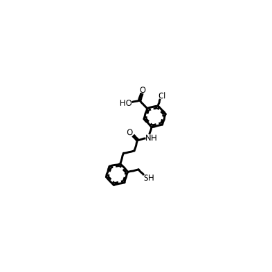 O=C(CCc1ccccc1CS)Nc1ccc(Cl)c(C(=O)O)c1